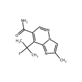 Cc1cn2ncc(C(N)=O)c(C(C)(C)F)c2n1